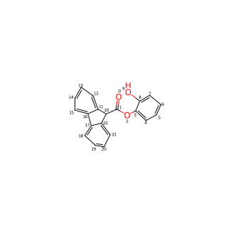 O=C(Oc1ccccc1O)C1c2ccccc2-c2ccccc21